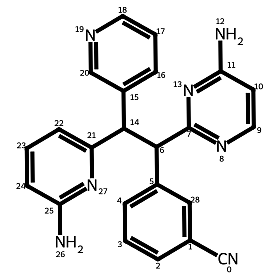 N#Cc1cccc(C(c2nccc(N)n2)C(c2cccnc2)c2cccc(N)n2)c1